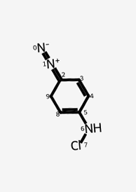 [N-]=[N+]=C1C=CC(NCl)=CC1